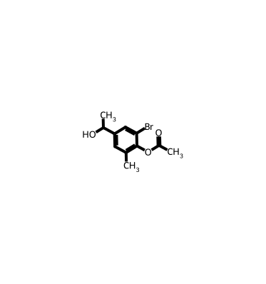 CC(=O)Oc1c(C)cc(C(C)O)cc1Br